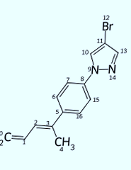 C=C/C=C(\C)c1ccc(-n2cc(Br)cn2)cc1